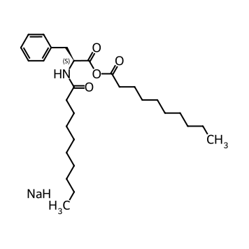 CCCCCCCCCC(=O)N[C@@H](Cc1ccccc1)C(=O)OC(=O)CCCCCCCCC.[NaH]